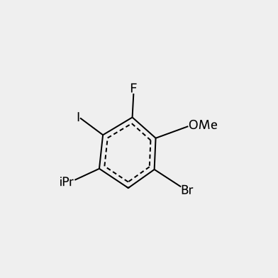 COc1c(Br)cc(C(C)C)c(I)c1F